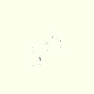 O=C1Nc2c(Cl)cc(Cl)cc2C2=NCCN12